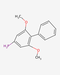 COc1cc(P)cc(OC)c1-c1ccccc1